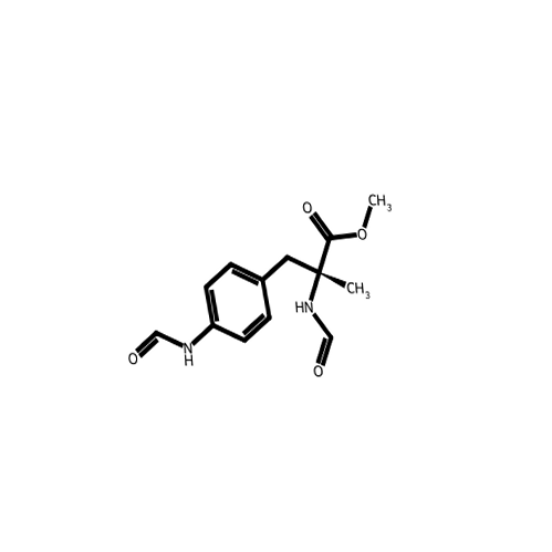 COC(=O)[C@@](C)(Cc1ccc(NC=O)cc1)NC=O